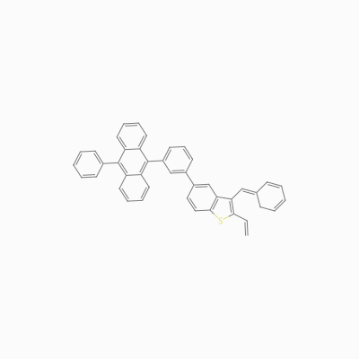 C=Cc1sc2ccc(-c3cccc(-c4c5ccccc5c(-c5ccccc5)c5ccccc45)c3)cc2c1/C=C1/C=CC=CC1